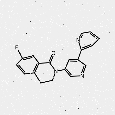 O=C1c2cc(F)ccc2CCN1c1cncc(-c2ccccn2)c1